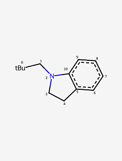 CC(C)(C)CN1CCc2ccccc21